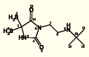 BC1(B)NC(=O)N(CCNC(C)(C)C)C1=O